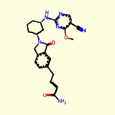 COc1nc(N[C@@H]2CCC[C@H](N3Cc4ccc(CC=CC(N)=O)cc4C3=O)C2)ncc1C#N